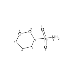 NS(=O)(=O)C1CCCOO1